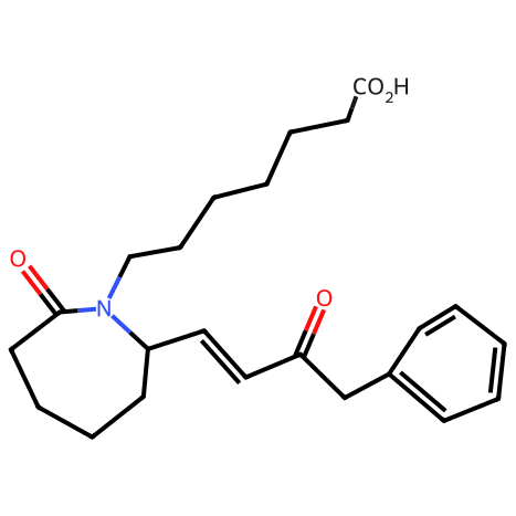 O=C(O)CCCCCCN1C(=O)CCCCC1C=CC(=O)Cc1ccccc1